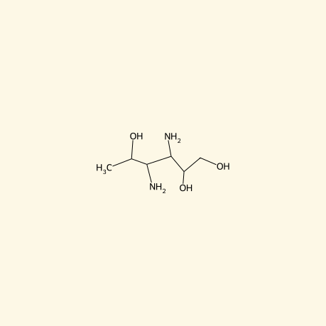 CC(O)C(N)C(N)C(O)CO